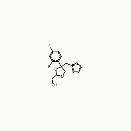 OCC1OCC(Cn2cncn2)(c2ccc(F)cc2F)O1